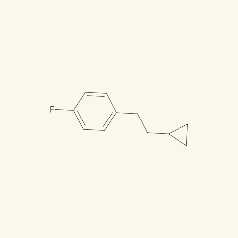 Fc1ccc(CCC2CC2)cc1